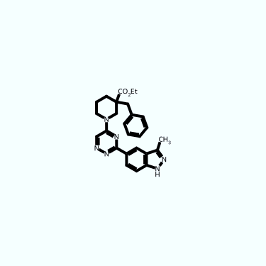 CCOC(=O)C1(Cc2ccccc2)CCCN(c2cnnc(-c3ccc4[nH]nc(C)c4c3)n2)C1